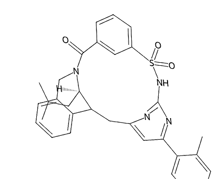 Cc1ccccc1-c1cc2nc(n1)NS(=O)(=O)c1cccc(c1)C(=O)N1Cc3ccccc3C(C2)[C@H]1CC(C)C